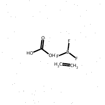 C=C.FB(F)F.O=C(O)O